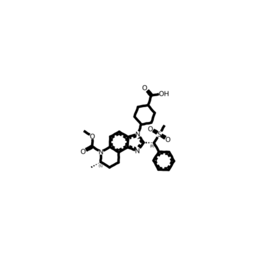 COC(=O)N1c2ccc3c(nc([C@@H](c4ccccc4)S(C)(=O)=O)n3C3CCC(C(=O)O)CC3)c2CC[C@@H]1C